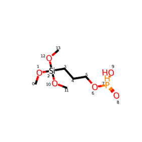 CO[Si](CCCO[PH](=O)O)(OC)OC